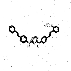 O=S(=O)(O)c1ccccc1C=Cc1ccc(Nc2ncnc(Nc3ccc(C=Cc4ccccc4)cc3)n2)cc1